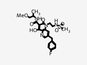 COCC(C)NC(=O)c1c(O)c2ncc(Cc3ccc(F)cc3)cc2n(CCNS(C)(=O)=O)c1=O